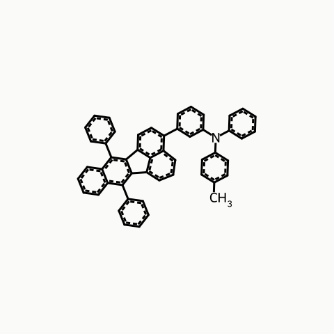 Cc1ccc(N(c2ccccc2)c2cccc(-c3ccc4c5c(cccc35)-c3c-4c(-c4ccccc4)c4ccccc4c3-c3ccccc3)c2)cc1